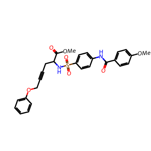 COC(=O)C(CC#CCOc1ccccc1)NS(=O)(=O)c1ccc(NC(=O)c2ccc(OC)cc2)cc1